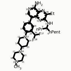 CCCCCC(CCC)Nc1nc2c(-c3ccc(N4CCC(N5CCN(C)CC5)CC4)c(C(F)F)c3)cnc(N)c2nc1CC